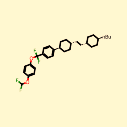 CCCC[C@H]1CC[C@H](CC[C@H]2CC[C@H](c3ccc(C(F)(F)Oc4ccc(OC(F)F)cc4)cc3)CC2)CC1